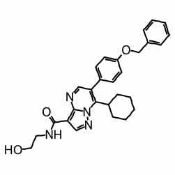 O=C(NCCO)c1cnn2c(C3CCCCC3)c(-c3ccc(OCc4ccccc4)cc3)cnc12